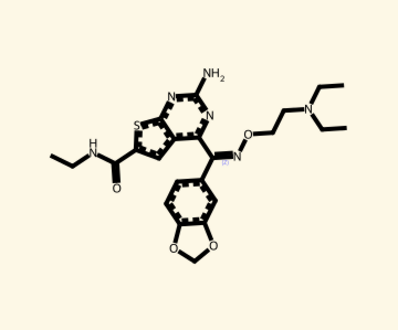 CCNC(=O)c1cc2c(/C(=N\OCCN(CC)CC)c3ccc4c(c3)OCO4)nc(N)nc2s1